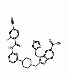 N#Cc1ccc(C(=O)Nc2cccc(C3CCN(Cc4nc5ccc(C(=O)O)cc5n4Cc4cnco4)CC3)n2)c(F)c1